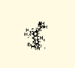 CC/C=C(\c1nc(Cc2c(C)cc(OCC(=N)N=N)c(C)c2C)ccc1C)C(C)C